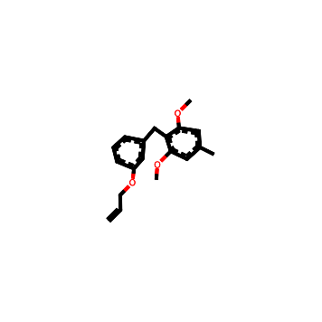 C=CCOc1cccc(Cc2c(OC)cc(C)cc2OC)c1